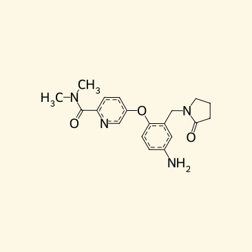 CN(C)C(=O)c1ccc(Oc2ccc(N)cc2CN2CCCC2=O)cn1